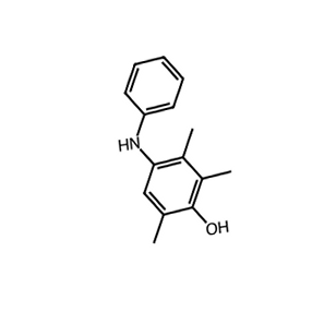 Cc1cc(Nc2ccccc2)c(C)c(C)c1O